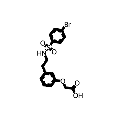 O=C(O)COc1cccc(CCNS(=O)(=O)c2ccc(Br)cc2)c1